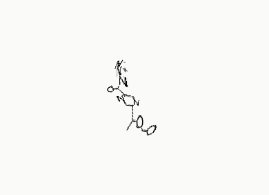 CC(OC=O)c1cnc(C(=O)N=[N+]=[N-])cn1